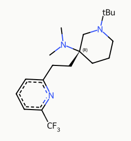 CN(C)[C@@]1(CCc2cccc(C(F)(F)F)n2)CCCN(C(C)(C)C)C1